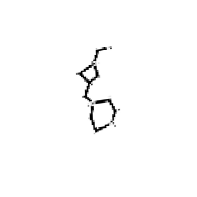 C[C](C)CN1CC(CN2CCOCC2)C1